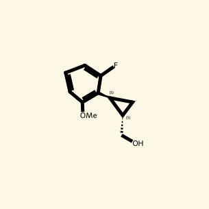 COc1cccc(F)c1[C@H]1C[C@@H]1CO